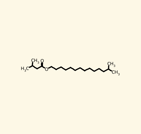 CC(C)CCCCCCCCCCCCOC(=O)CC(C)C